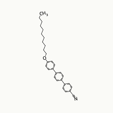 CCCCCCCCCCCOc1ccc(-c2ccc(-c3ccc(C#N)cc3)cc2)cc1